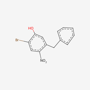 O=[N+]([O-])c1cc(Br)c(O)cc1Cc1ccccc1